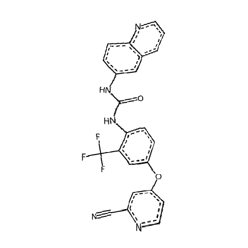 N#Cc1cc(Oc2ccc(NC(=O)Nc3ccc4ncccc4c3)c(C(F)(F)F)c2)ccn1